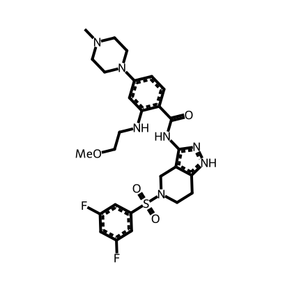 COCCNc1cc(N2CCN(C)CC2)ccc1C(=O)Nc1n[nH]c2c1CN(S(=O)(=O)c1cc(F)cc(F)c1)CC2